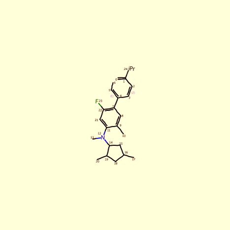 C=C(/C=C\C(=C/C)c1cc(C)c(N(C)C2CC(C)CC2C)cc1F)C(C)C